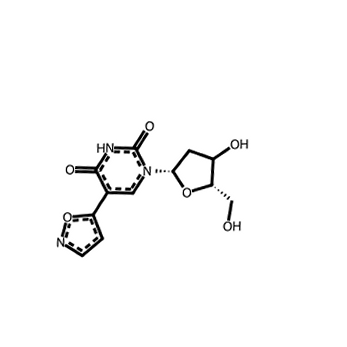 O=c1[nH]c(=O)n([C@@H]2CC(O)[C@H](CO)O2)cc1-c1ccno1